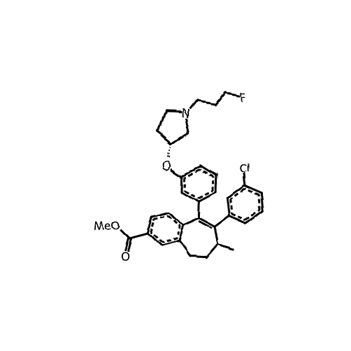 COC(=O)c1ccc2c(c1)CCC(C)C(c1cccc(Cl)c1)=C2c1cccc(O[C@@H]2CCN(CCCF)C2)c1